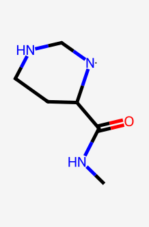 CNC(=O)C1CCNC[N]1